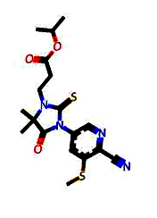 CSc1cc(N2C(=O)C(C)(C)N(CCC(=O)OC(C)C)C2=S)cnc1C#N